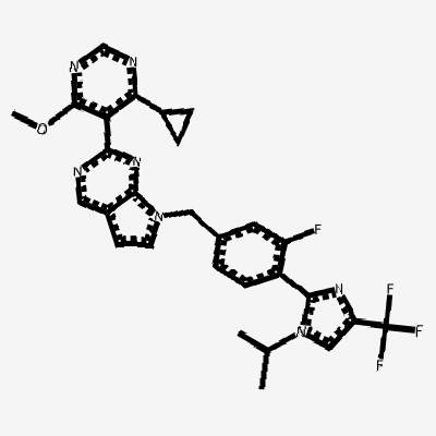 COc1ncnc(C2CC2)c1-c1ncc2ccn(Cc3ccc(-c4nc(C(F)(F)F)cn4C(C)C)c(F)c3)c2n1